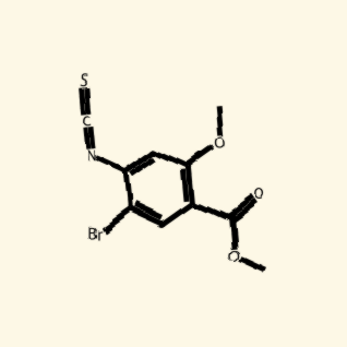 COC(=O)c1cc(Br)c(N=C=S)cc1OC